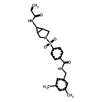 C=CC(=O)NC1C2CN(S(=O)(=O)c3ccc(C(=O)NCc4cc(C)cc(C)c4)cc3)CC21